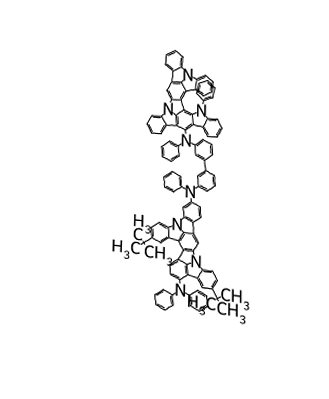 CC(C)(C)c1ccc2c(c1)c1c(N(c3ccccc3)c3ccccc3)ccc3c4c5c6cc(C(C)(C)C)ccc6n6c7cc(N(c8ccccc8)c8cccc(-c9cccc(N(c%10ccccc%10)c%10c%11c%12ccccc%12n(-c%12ccccc%12)c%11c%11c%12c%13c%14ccccc%14n%14c%15ccccc%15c(cc%12n%12c%15ccccc%15c%10c%11%12)c%13%14)c9)c8)ccc7c(cc4n2c31)c56